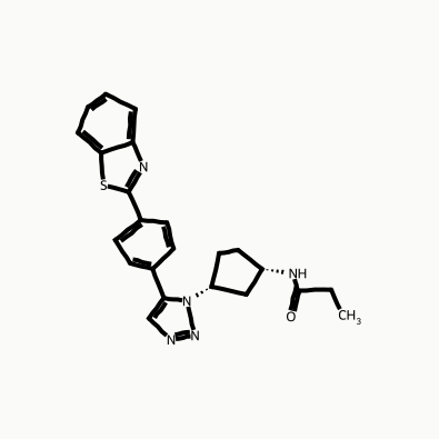 CCC(=O)N[C@H]1CC[C@@H](n2nncc2-c2ccc(-c3nc4ccccc4s3)cc2)C1